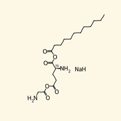 CCCCCCCCCCCC(=O)OC(=O)[C@@H](N)CCC(=O)OC(=O)CN.[NaH]